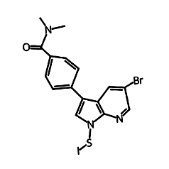 CN(C)C(=O)c1ccc(-c2cn(SI)c3ncc(Br)cc23)cc1